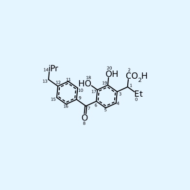 CCC(C(=O)O)c1ccc(C(=O)c2ccc(CC(C)C)cc2)c(O)c1O